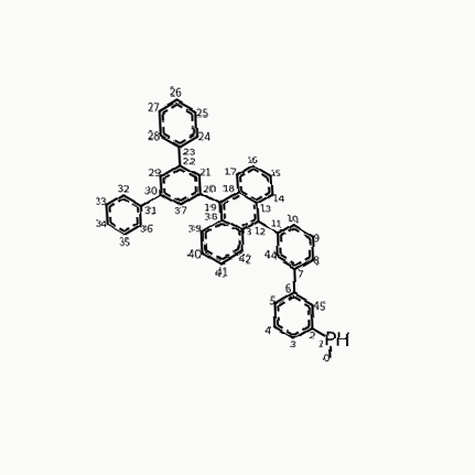 CPc1cccc(-c2cccc(-c3c4ccccc4c(-c4cc(-c5ccccc5)cc(-c5ccccc5)c4)c4ccccc34)c2)c1